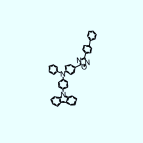 c1ccc(-c2ccc(-c3noc(-c4ccc(N(c5ccccc5)c5ccc(-n6c7ccccc7c7ccccc76)cc5)cc4)n3)cc2)cc1